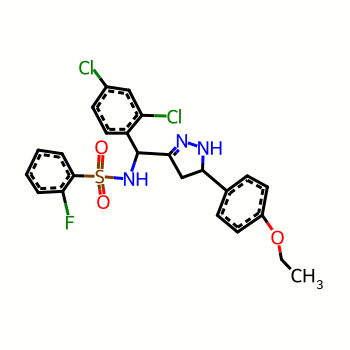 CCOc1ccc(C2CC(C(NS(=O)(=O)c3ccccc3F)c3ccc(Cl)cc3Cl)=NN2)cc1